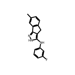 Cc1ccc2c(c1)-c1n[nH]c(Nc3cccc(F)c3)c1C2